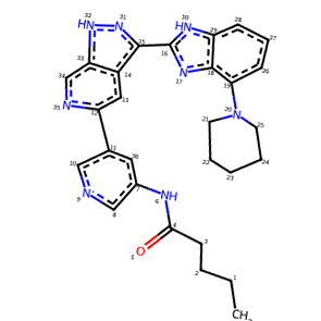 CCCCC(=O)Nc1cncc(-c2cc3c(-c4nc5c(N6CCCCC6)cccc5[nH]4)n[nH]c3cn2)c1